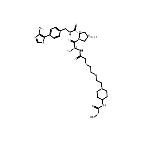 Cc1ncsc1-c1ccc(CNC(=O)[C@@H]2C[C@@H](O)CN2C(=O)[C@@H](NC(=O)COCCOCCN2CCC(NC(=O)OC(C)(C)C)CC2)C(C)(C)C)cc1